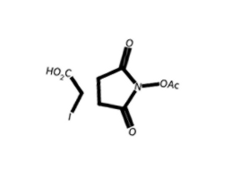 CC(=O)ON1C(=O)CCC1=O.O=C(O)CI